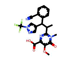 COc1c(C(=O)O)nc(C(C)C(c2cnn(C(F)(F)F)c2)c2ccccc2C#N)n(C)c1=O